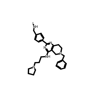 INCc1ccc(-c2nc3c(c(NCCCN4CCCC4)n2)CN(Cc2ccccc2)CC3)cc1